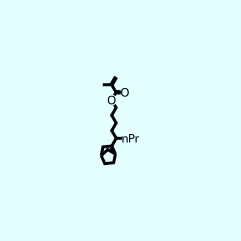 C=C(C)C(=O)OCCCCC(CCC)C1=C2CCC(C2)C1